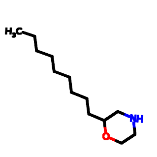 CCCCCCCCCC1CNCCO1